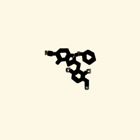 Cc1c(C#N)ccc2c1cc(Cc1c(Cl)ccc(C=O)c1Cl)n2Sc1ccccc1